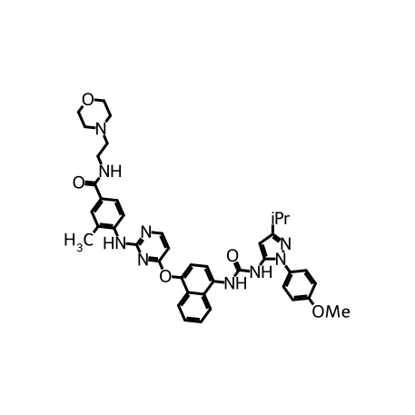 COc1ccc(-n2nc(C(C)C)cc2NC(=O)Nc2ccc(Oc3ccnc(Nc4ccc(C(=O)NCCN5CCOCC5)cc4C)n3)c3ccccc23)cc1